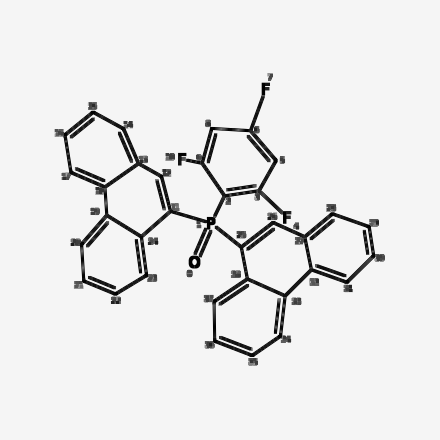 O=P(c1c(F)cc(F)cc1F)(c1cc2ccccc2c2ccccc12)c1cc2ccccc2c2ccccc12